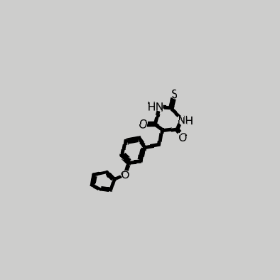 O=C1NC(=S)NC(=O)C1Cc1cccc(Oc2ccccc2)c1